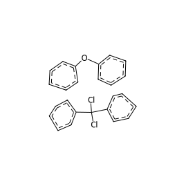 ClC(Cl)(c1ccccc1)c1ccccc1.c1ccc(Oc2ccccc2)cc1